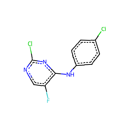 Fc1cnc(Cl)nc1Nc1ccc(Cl)cc1